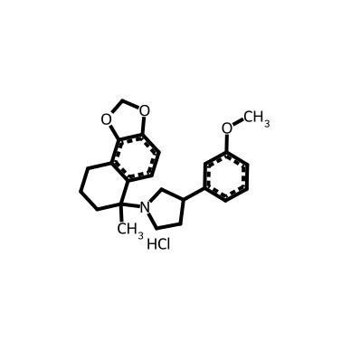 COc1cccc(C2CCN(C3(C)CCCc4c3ccc3c4OCO3)C2)c1.Cl